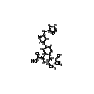 CC(=O)N1c2ccc(-c3cnn(Cc4ccno4)c3)cc2N(C(=O)O)C[C@@H]1C